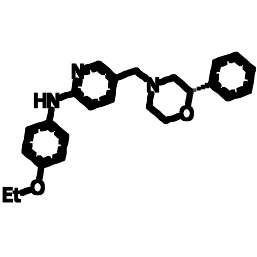 CCOc1ccc(Nc2ccc(CN3CCO[C@@H](c4ccccc4)C3)cn2)cc1